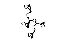 C1OC1COC(OC(OCC1CO1)C1CO1)C1CO1